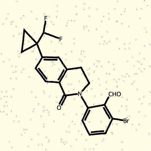 O=Cc1c(Br)cccc1N1CCc2cc(C3(C(F)F)CC3)ccc2C1=O